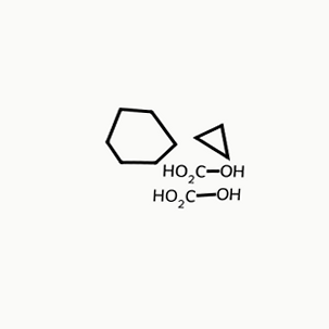 C1CC1.C1CCCCC1.O=C(O)O.O=C(O)O